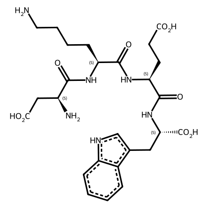 NCCCC[C@H](NC(=O)[C@@H](N)CC(=O)O)C(=O)N[C@@H](CCC(=O)O)C(=O)N[C@@H](Cc1c[nH]c2ccccc12)C(=O)O